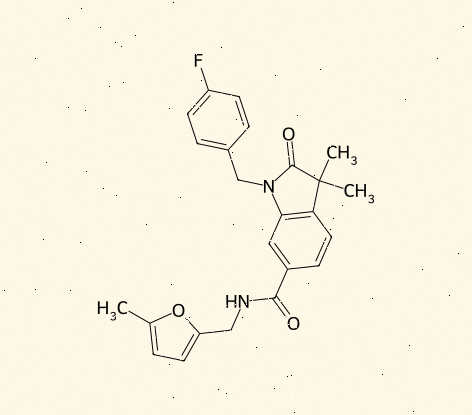 Cc1ccc(CNC(=O)c2ccc3c(c2)N(Cc2ccc(F)cc2)C(=O)C3(C)C)o1